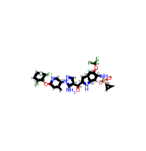 Cc1cc(Oc2c(F)cccc2F)ncc1-n1ncc(C(=O)c2cc3cc(OC(F)F)c(NS(=O)(=O)C4CC4)cc3[nH]2)c1N